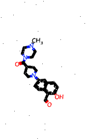 CN1CCN(C(=O)C2CCN(c3ccc4c(C=O)c(O)ccc4c3)CC2)CC1